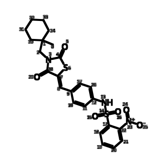 CC1(CN2C(=O)SC(=Cc3ccc(NS(=O)(=O)c4ccccc4[N+](=O)[O-])cc3)C2=O)CCCCC1